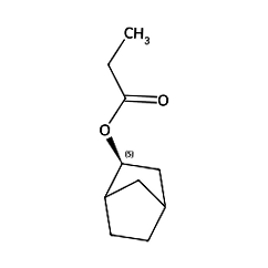 CCC(=O)O[C@H]1CC2CCC1C2